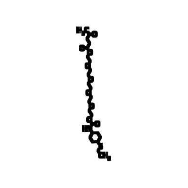 CCSC1CCC(NC(=O)OCCOCCOCCOCCOCCOC(=O)CCC(C)=O)CC1